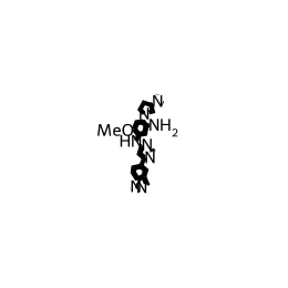 COc1cc(N2CCC(N(C)C)C2)c(N)cc1Nc1cc(-c2ccc3c(cnn3C)c2)ncn1